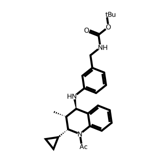 CC(=O)N1c2ccccc2[C@H](Nc2cccc(CNC(=O)OC(C)(C)C)c2)[C@@H](C)[C@H]1C1CC1